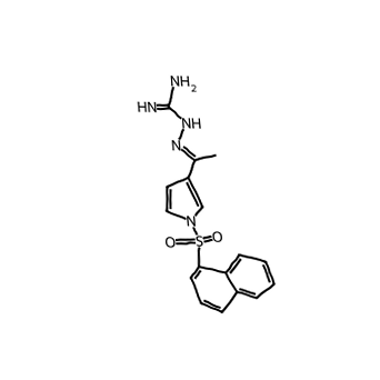 C/C(=N\NC(=N)N)c1ccn(S(=O)(=O)c2cccc3ccccc23)c1